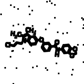 Cc1c(C)n(CCCCl)c2ccc(Oc3cccc(C(=O)Nc4ccc5c(c4)OCO5)c3)cc12